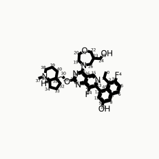 CCc1c(F)ccc2cc(O)cc(-c3ncc4c(N5CCOCC(CO)C5)nc(OC[C@]56CCC[C@H]5N(C)CCC6)nc4c3F)c12